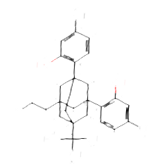 CCCC12CC3(c4ccc(C)cc4O)CC(c4ccc(C)cc4O)(C1)CC(C(C)(C)C)(C2)C3